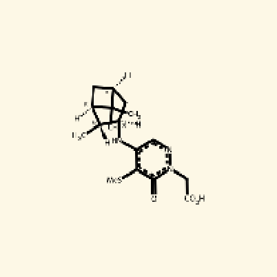 CSc1c(N[C@@H]2C[C@@H]3C[C@H]([C@H]2C)C3(C)C)cnn(CC(=O)O)c1=O